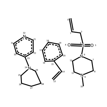 C=CCS(=O)(=O)N1CCN(C)CC1.C=Cc1ccccc1.c1cc(N2CCCCC2)ccn1